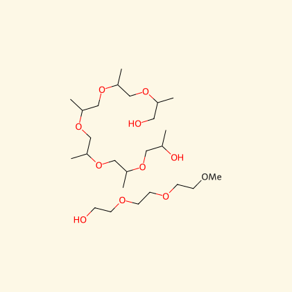 CC(O)COC(C)COC(C)COC(C)COC(C)COC(C)CO.COCCOCCOCCO